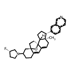 C[C@]12CC=C3C=C4CCC(N5CC[C@H](F)C5)C[C@]45CC[C@]3(O5)[C@@H]1CC[C@@H]2c1ccc2ccncc2c1